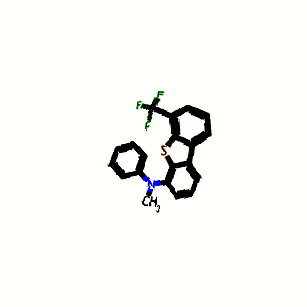 CN(c1ccccc1)c1cccc2c1sc1c(C(F)(F)F)cccc12